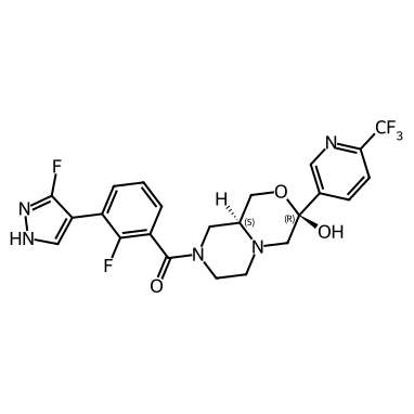 O=C(c1cccc(-c2c[nH]nc2F)c1F)N1CCN2C[C@@](O)(c3ccc(C(F)(F)F)nc3)OC[C@@H]2C1